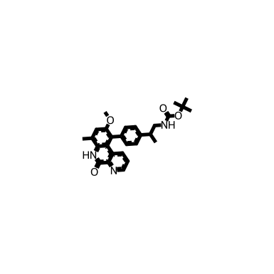 COc1cc(C)c2[nH]c(=O)c3ncccc3c2c1-c1ccc(C(C)CNC(=O)OC(C)(C)C)cc1